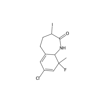 CC1(F)C=C(Cl)C=C2CCC(I)C(=O)NC21